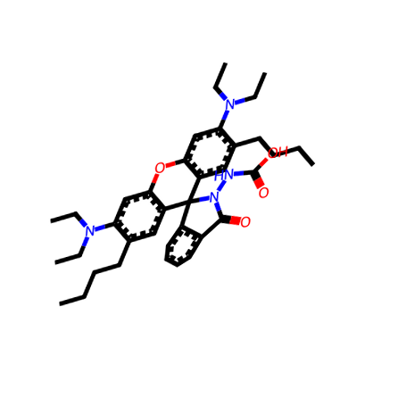 CCCCc1cc2c(cc1N(CC)CC)Oc1cc(N(CC)CC)c(CCCC)cc1C21c2ccccc2C(=O)N1NC(=O)O